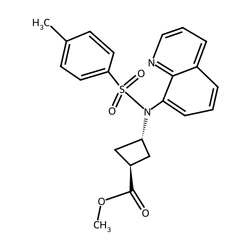 COC(=O)[C@H]1C[C@H](N(c2cccc3cccnc23)S(=O)(=O)c2ccc(C)cc2)C1